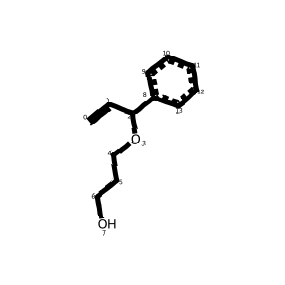 C=CC(OCCCO)c1ccccc1